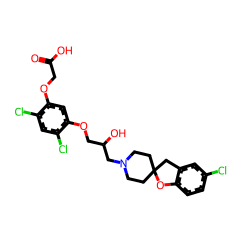 O=C(O)COc1cc(OCC(O)CN2CCC3(CC2)Cc2cc(Cl)ccc2O3)c(Cl)cc1Cl